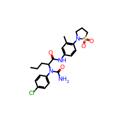 CCCC(C(=O)Nc1ccc(N2CCCS2(=O)=O)c(C)c1)N(C(N)=O)c1ccc(Cl)cc1